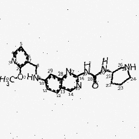 COc1ncccc1CNc1ccc2cnc(NC(=O)N[C@@H]3CCCNC3)nc2c1